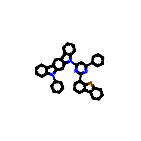 c1ccc(-c2cc(-n3c4ccccc4c4cc5c6ccccc6n(-c6ccccc6)c5cc43)nc(-c3cccc4c3sc3ccccc34)n2)cc1